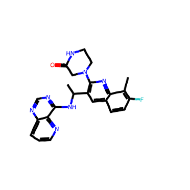 Cc1c(F)ccc2cc(C(C)Nc3ncnc4cccnc34)c(N3CCNC(=O)C3)nc12